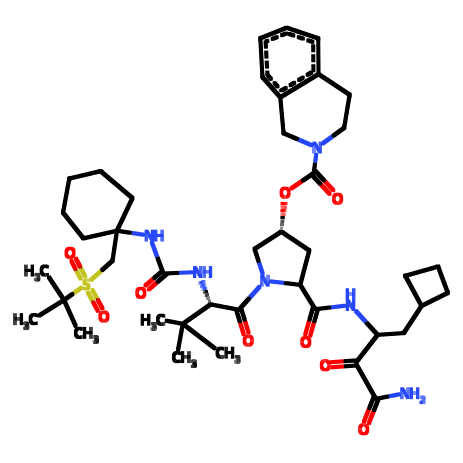 CC(C)(C)[C@H](NC(=O)NC1(CS(=O)(=O)C(C)(C)C)CCCCC1)C(=O)N1C[C@H](OC(=O)N2CCc3ccccc3C2)CC1C(=O)NC(CC1CCC1)C(=O)C(N)=O